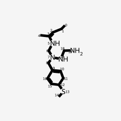 CC/C=C(/C)NCN(CC1=CCC(SC)C=C1)NCN